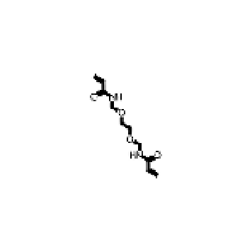 C=CC(=O)NCOCCOCNC(=O)C=C